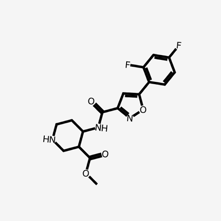 COC(=O)C1CNCCC1NC(=O)c1cc(-c2ccc(F)cc2F)on1